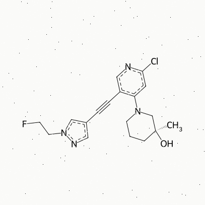 C[C@]1(O)CCCN(c2cc(Cl)ncc2C#Cc2cnn(CCF)c2)C1